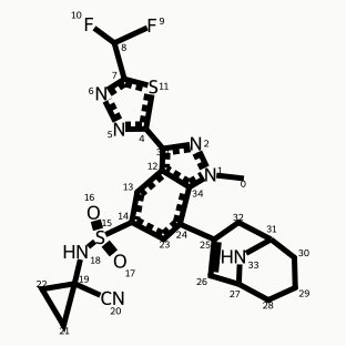 Cn1nc(-c2nnc(C(F)F)s2)c2cc(S(=O)(=O)NC3(C#N)CC3)cc(C3=CC4CCCC(C3)N4)c21